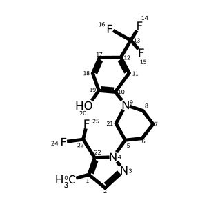 Cc1cnn(C2CCCN(c3cc(C(F)(F)F)ccc3O)C2)c1C(F)F